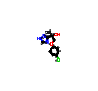 CC(C)(C)C(O)(COc1ccc(Cl)cc1)c1nc[nH]n1